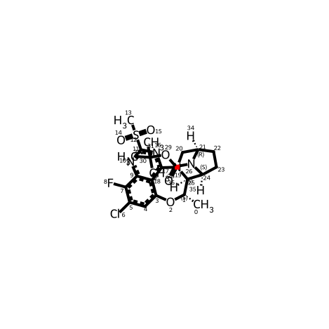 C[C@@H]1Oc2cc(Cl)c(F)c3nc(S(C)(=O)=O)nc(c23)N2C[C@H]3CC[C@@H]([C@@H]12)N3C(=O)OC(C)(C)C